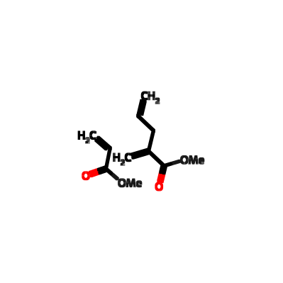 C=CC(=O)OC.C=CCC(=C)C(=O)OC